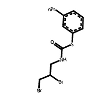 CCCc1cccc(SC(=O)NCC(Br)CBr)c1